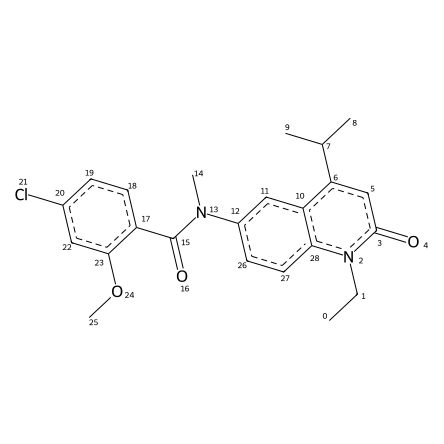 CCn1c(=O)cc(C(C)C)c2cc(N(C)C(=O)c3ccc(Cl)cc3OC)ccc21